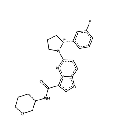 O=C(NC1CCCOC1)c1cnc2ccc(N3CCC[C@@H]3c3cccc(F)c3)nn12